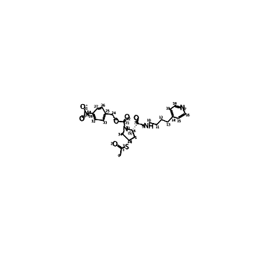 CC(=O)S[C@H]1C[C@@H](C(=O)NCCCCc2ccncc2)N(C(=O)OCc2ccc([N+](=O)[O-])cc2)C1